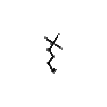 CCCCC[O][Zr]([I])([I])[I]